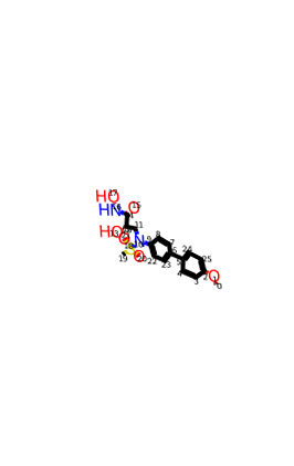 COc1ccc(-c2ccc(N(C[C@H](O)C(=O)NO)S(C)(=O)=O)cc2)cc1